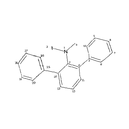 CN(I)c1c(-c2ccccc2)cccc1-c1ccccc1